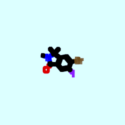 CN1C(=O)c2cc(I)c(Br)cc2C1(C)C